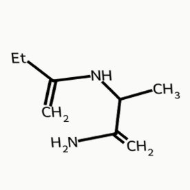 C=C(CC)NC(C)C(=C)N